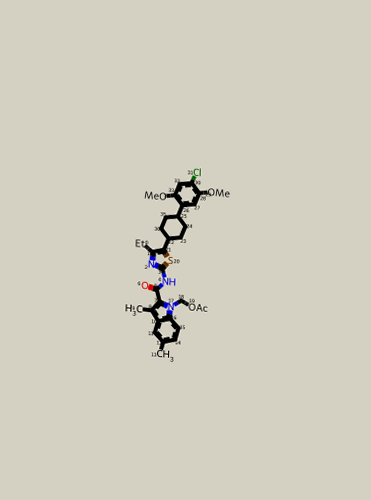 CCc1nc(NC(=O)c2c(C)c3cc(C)ccc3n2COC(C)=O)sc1C1CCC(c2cc(OC)c(Cl)cc2OC)CC1